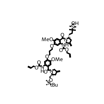 C=CCOC(=O)Nc1cc(OCCCOc2cc(NC(=O)OCC=C)c(C(=O)N3CC(=C)C[C@H]3CO[Si](C)(C)C(C)(C)C)cc2OC)c(OC)cc1C(=O)N1CC(=C)C[C@H]1CCC(C)(C)[Si](C)(C)O